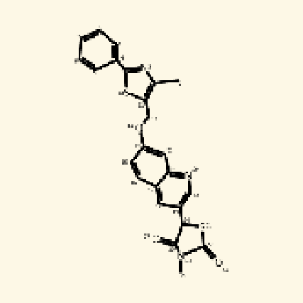 Cc1nc(-c2ccccc2)sc1COc1ccc2cc(C3SC(=O)N(C)C3=O)cnc2c1